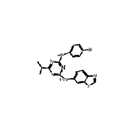 CC(C)c1nc(Nc2ccc(Br)cc2)nc(Nc2ccc3ncsc3c2)n1